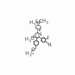 COCc1ccc(C2=C(c3ccc(C#N)c(F)c3)N=C(N3CCC(N(C)C)CC3)CN2C)cc1